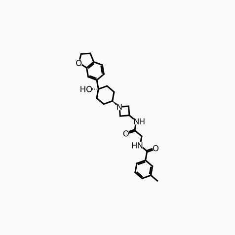 Cc1cccc(C(=O)NCC(=O)NC2CN([C@H]3CC[C@@](O)(c4ccc5c(c4)OCC5)CC3)C2)c1